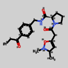 CC(C)CC(=O)c1ccc(CNC(=O)[C@@H]2CCCN2C(=O)CC2=CC(C)N(C)O2)cc1